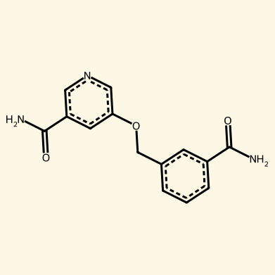 NC(=O)c1cccc(COc2cncc(C(N)=O)c2)c1